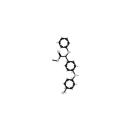 COC(=O)C(Oc1ccccc1)c1ccc(Oc2ccc(Cl)cc2)cc1